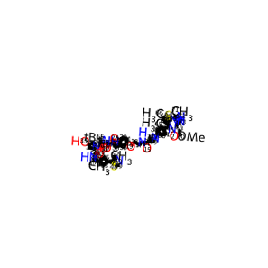 COC(=O)C[C@@H]1N=C(c2ccc(N3CC(C(=O)NCCOc4ccc5oc(C(=O)NC(C(=O)N6C[C@H](O)C[C@H]6C(=O)N[C@@H](C)c6ccc(-c7scnc7C)cc6)C(C)(C)C)cc5c4)C3)cc2)c2c(sc(C)c2C)-n2c(C)nnc21